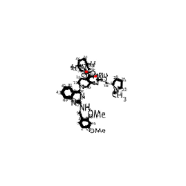 COc1ccc(CNc2nc(N3CCc4c(nc(OC[C@@H]5CCCN5C)nc4N4C[C@H]5CC[C@@H](C4)N5C(=O)OC(C)(C)C)C3)c3ccccc3n2)c(OC)c1